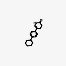 O=C1CCC(c2ccc(C3=CCCCC3)cc2)=NN1